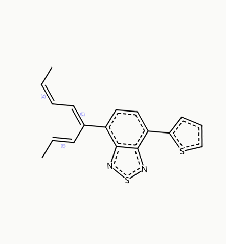 C\C=C/C=C(\C=C\C)c1ccc(-c2cccs2)c2nsnc12